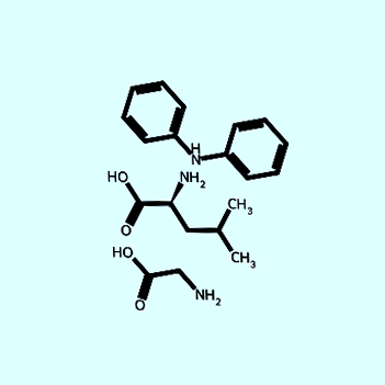 CC(C)C[C@H](N)C(=O)O.NCC(=O)O.c1ccc(Nc2ccccc2)cc1